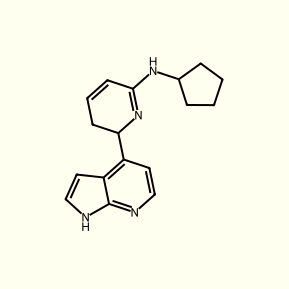 C1=CC(NC2CCCC2)=NC(c2ccnc3[nH]ccc23)C1